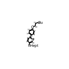 CCCCCCCc1ccc(-c2ccc(OCCC(C)CC)cc2)nc1